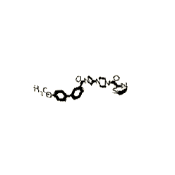 COc1ccc(-c2cccc(C(=O)N3CC(N4CCN(C(=O)c5nccs5)CC4)C3)c2)cc1